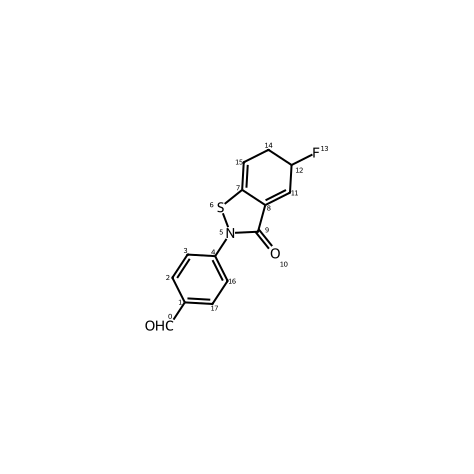 O=Cc1ccc(-n2sc3c(c2=O)=CC(F)CC=3)cc1